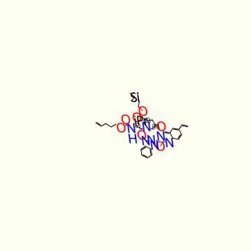 C=CCCCOC(=O)N[C@H](C(=O)N1C[C@H](Oc2nc(On3nnc4ccccc43)nc3ccc(C=C)cc23)C[C@H]1C(=O)OCC[Si](C)(C)C)C(C)C